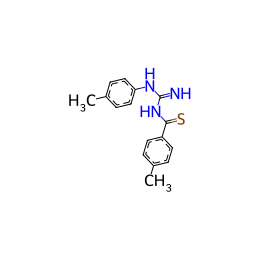 Cc1ccc(NC(=N)NC(=S)c2ccc(C)cc2)cc1